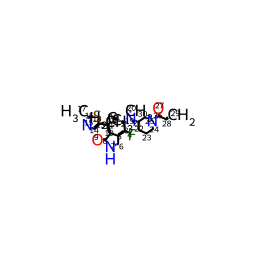 C=C=C(/C(F)=C1/CNC(=O)/C1=C(/C)c1cnc(C)s1)N(C)[C@@H]1CCCN(C(=O)C=C)C1